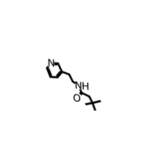 CC(C)(C)CC(=O)NCCc1cccnc1